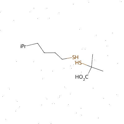 CC(C)(S)C(=O)O.CC(C)CCCCS